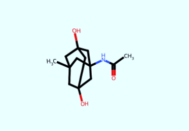 CC(=O)NC12CC3(C)CC(O)(CC(O)(C3)C1)C2